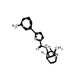 Cc1cccc(-c2ccc(C(=O)N[C@@H]3C4CCN(CC4)[C@H]3C)s2)c1